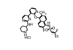 CC/C(F)=C/S(=O)(=O)Nc1c(F)ccc2c(Oc3ncccc3-c3ccnc(NC4CCCNC4)n3)c(C)ccc12.Cl